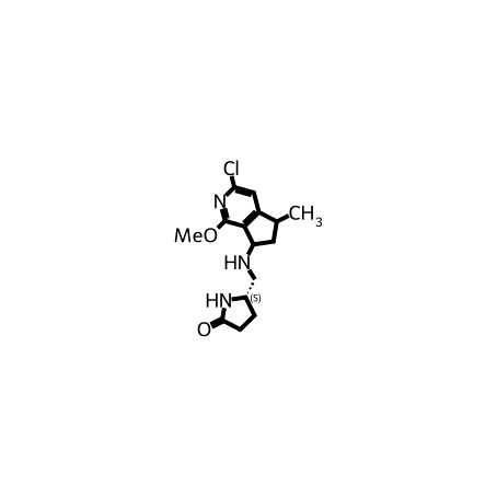 COc1nc(Cl)cc2c1C(NC[C@@H]1CCC(=O)N1)CC2C